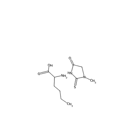 CCCCC(N)C(=O)O.CN1CC(=O)NC1=S